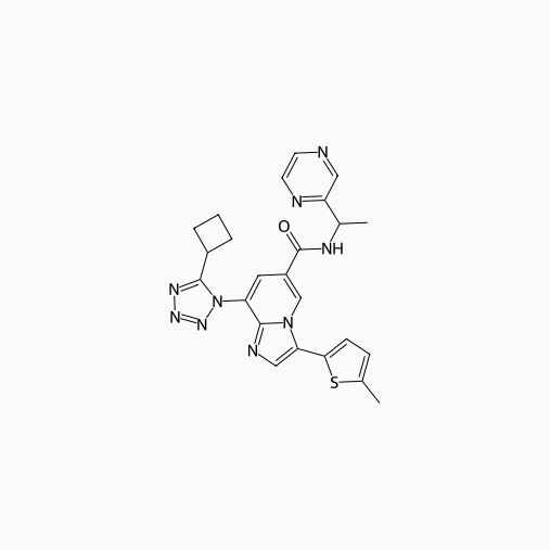 Cc1ccc(-c2cnc3c(-n4nnnc4C4CCC4)cc(C(=O)NC(C)c4cnccn4)cn23)s1